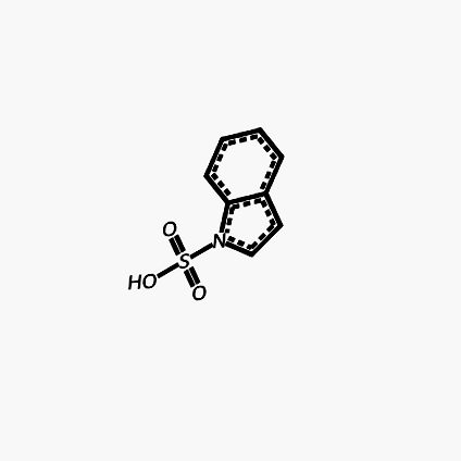 O=S(=O)(O)n1ccc2ccccc21